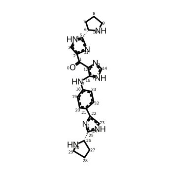 O=C(c1c[nH]c([C@@H]2CCCN2)n1)c1nc[nH]c1Nc1ccc(-c2c[nH]c([C@@H]3CCCN3)n2)cc1